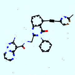 Cc1nc(C#Cc2cccc3nc([C@H](C)NC(=O)c4c(N)nn5cccnc45)n(-c4ccccc4)c(=O)c23)cs1